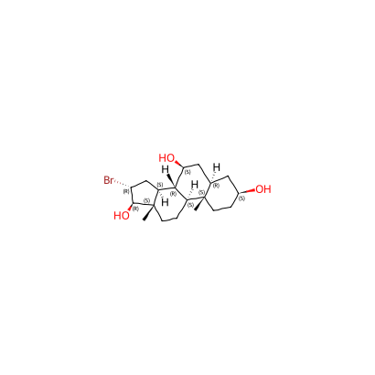 C[C@]12CC[C@H](O)C[C@@H]1C[C@H](O)[C@@H]1[C@@H]2CC[C@]2(C)[C@@H](O)[C@H](Br)C[C@@H]12